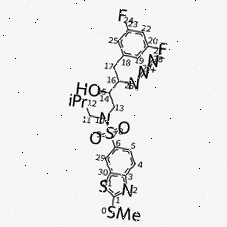 CSc1nc2ccc(S(=O)(=O)N(CC(C)C)C[C@@H](O)C(Cc3cc(F)cc(F)c3)N=[N+]=[N-])cc2s1